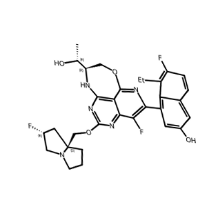 CCc1c(F)ccc2cc(O)cc(-c3nc4c5c(nc(OC[C@@]67CCCN6C[C@H](F)C7)nc5c3F)N[C@@H]([C@@H](C)O)CO4)c12